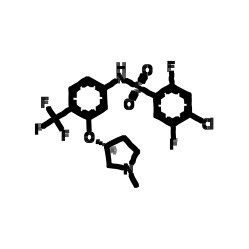 CN1CC[C@@H](Oc2cc(NS(=O)(=O)c3cc(F)c(Cl)cc3F)ccc2C(F)(F)F)C1